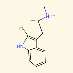 C[C@@H](Cc1c(Cl)[nH]c2ccccc12)N(C)C